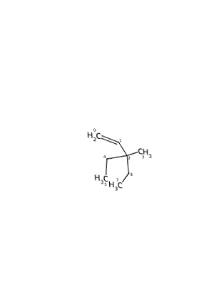 C=CC(C)(CC)CC